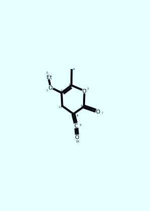 CCOC1=C(C)OC(=O)C(=C=O)C1